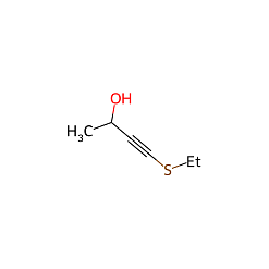 CCSC#CC(C)O